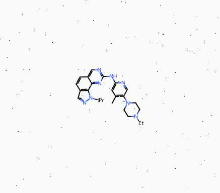 CCN1CCN(c2cnc(Nc3ncc4ccc5cnn(C(C)C)c5c4n3)cc2C)CC1